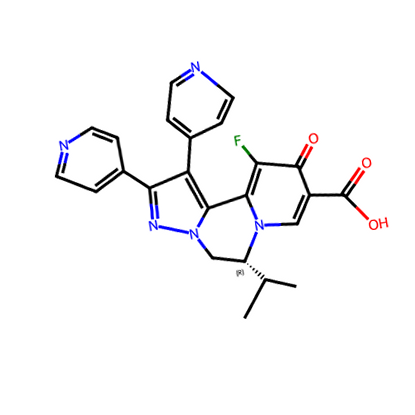 CC(C)[C@@H]1Cn2nc(-c3ccncc3)c(-c3ccncc3)c2-c2c(F)c(=O)c(C(=O)O)cn21